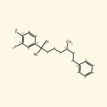 CC(C)C(C#N)(CCCN(C)CCc1ccccc1)c1ccc(F)c(F)c1